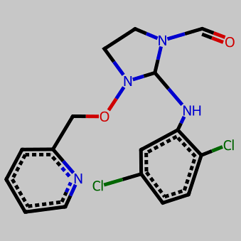 O=CN1CCN(OCc2ccccn2)C1Nc1cc(Cl)ccc1Cl